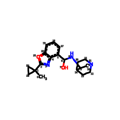 CC1(c2nc3c(C(O)NC4CN5CCC4CC5)cccc3o2)CC1